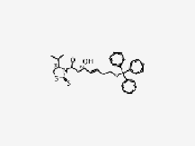 CC(C)[C@@H]1CSC(=S)N1C(=O)C[C@H](O)C=CCCSC(c1ccccc1)(c1ccccc1)c1ccccc1